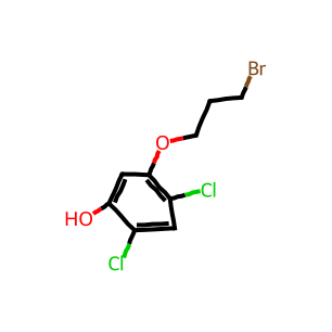 Oc1cc(OCCCBr)c(Cl)cc1Cl